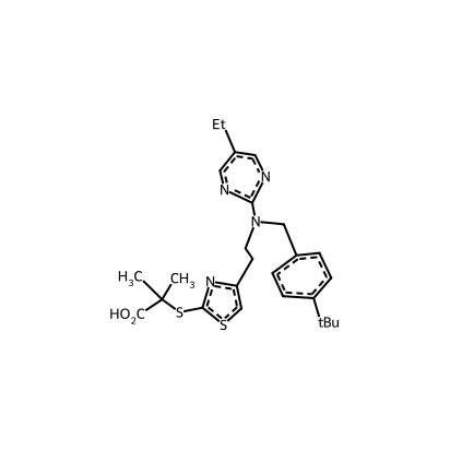 CCc1cnc(N(CCc2csc(SC(C)(C)C(=O)O)n2)Cc2ccc(C(C)(C)C)cc2)nc1